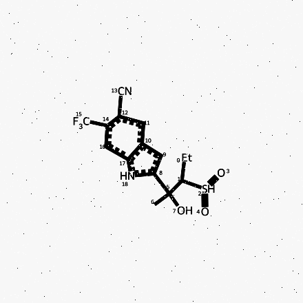 CCC([SH](=O)=O)C(C)(O)c1cc2cc(C#N)c(C(F)(F)F)cc2[nH]1